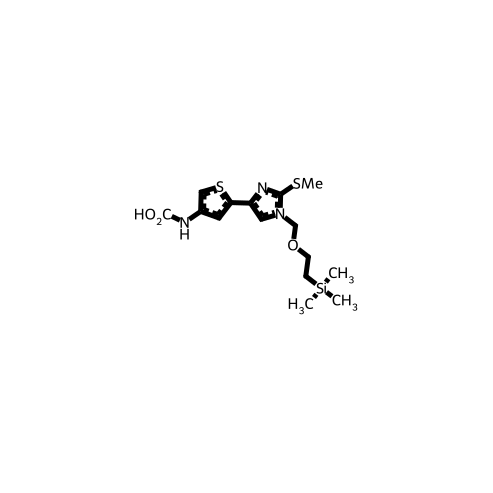 CSc1nc(-c2cc(NC(=O)O)cs2)cn1COCC[Si](C)(C)C